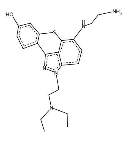 CCN(CC)CCn1nc2c3c(c(NCCN)ccc31)Sc1cc(O)ccc1-2